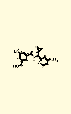 Cc1ccnc(C(NC(=O)c2cc(Br)cc(CO)c2)C2CC2)c1